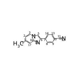 Cc1ccn2cc(-c3ccc(C#N)cc3)nc2c1